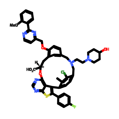 COc1ccccc1-c1nccc(COc2ccc3cc2C[C@H](C(=O)O)Oc2ncnc4sc(-c5ccc(F)cc5)c(c24)-c2ccc(c(Cl)c2C)CN(CCN2CCC(O)CC2)C3)n1